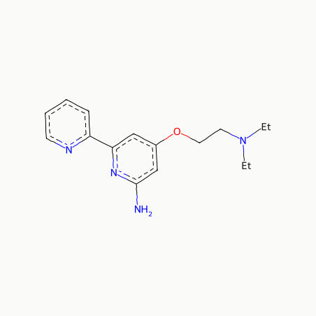 CCN(CC)CCOc1cc(N)nc(-c2ccccn2)c1